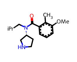 COc1cccc(C(=O)N(CC(C)C)[C@@H]2CCNC2)c1C